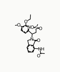 CCOc1nc(C(CS(C)(=O)=O)N2Cc3cccc(NC(C)=O)c3C2=O)ccc1OC